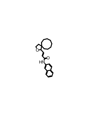 O=C(/C=C/C1OCCC12CCCCCCCC2)Nc1ccc2ccccc2c1